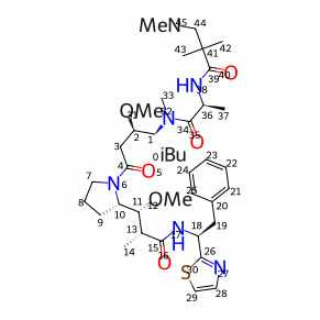 CC[C@H](C)[C@@H]([C@@H](CC(=O)N1CCC[C@H]1[C@H](OC)[C@@H](C)C(=O)N[C@@H](Cc1ccccc1)c1nccs1)OC)N(C)C(=O)[C@H](C)NC(=O)C(C)(C)CNC